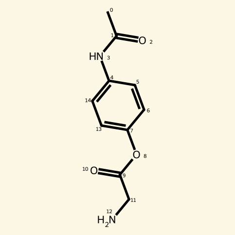 CC(=O)Nc1ccc(OC(=O)CN)cc1